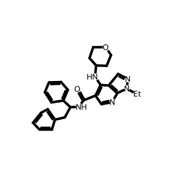 CCn1ncc2c(NC3CCOCC3)c(C(=O)NC(Cc3ccccc3)c3ccccc3)cnc21